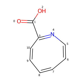 O=C(O)C1=NC=CC=CC=C1